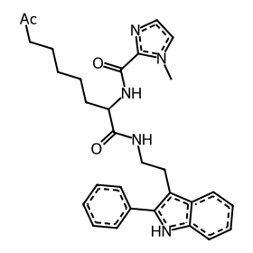 CC(=O)CCCCCC(NC(=O)c1nccn1C)C(=O)NCCc1c(-c2ccccc2)[nH]c2ccccc12